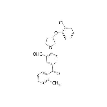 Cc1ccccc1C(=O)c1ccc(N2CC[C@H](Oc3ncccc3Cl)C2)c(C=O)c1